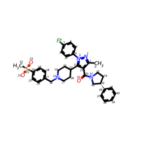 Cc1nn(-c2ccc(F)cc2)c(C2CCN(Cc3ccc(S(C)(=O)=O)cc3)CC2)c1C(=O)N1CC[C@H](c2ccccc2)C1